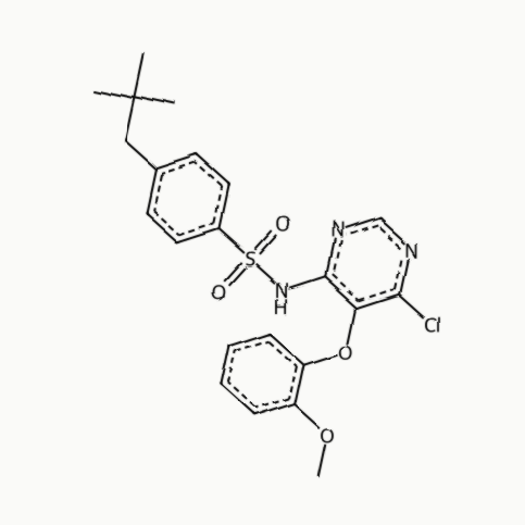 COc1ccccc1Oc1c(Cl)ncnc1NS(=O)(=O)c1ccc(CC(C)(C)C)cc1